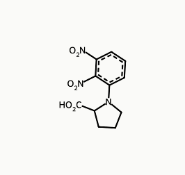 O=C(O)C1CCCN1c1cccc([N+](=O)[O-])c1[N+](=O)[O-]